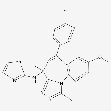 COc1ccc2c(c1)C(c1ccc(Cl)cc1)=CC(C)(Nc1nccs1)c1nnc(C)n1-2